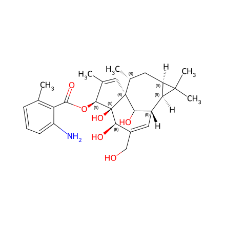 CC1=C[C@]23C(O)[C@@H](C=C(CO)[C@@H](O)[C@]2(O)[C@H]1OC(=O)c1c(C)cccc1N)[C@H]1[C@@H](C[C@H]3C)C1(C)C